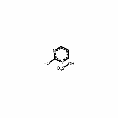 O=S(=O)(O)O.Oc1ncccn1